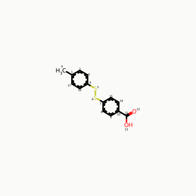 Cc1ccc(SSc2ccc(C(=O)O)cc2)cc1